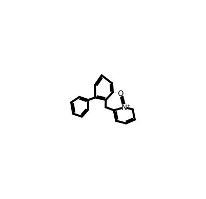 O=[N+]1CC=CC=C1Cc1[c]cccc1-c1ccccc1